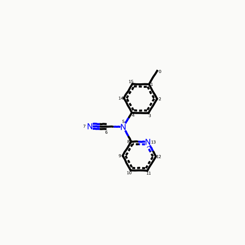 Cc1ccc(N(C#N)c2ccccn2)cc1